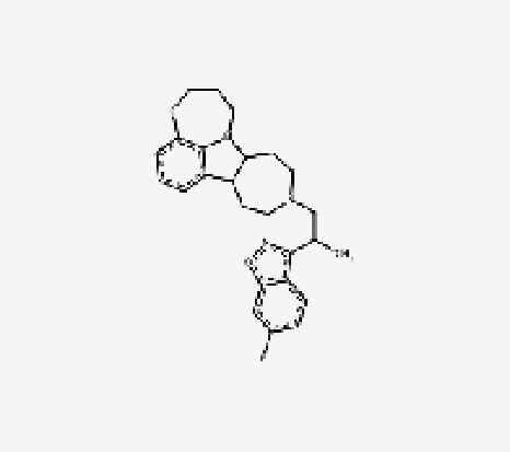 CC(CN1CCC2c3cccc4c3N(CCCS4)C2CC1)c1noc2cc(F)ccc12